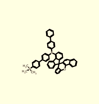 C[Si](C)(C)c1ccc(-c2ccc(N(c3ccc(-c4ccccc4)cc3)c3cccc4c3-c3ccccc3C43c4ccccc4Oc4c3ccc3ccccc43)cc2)cc1